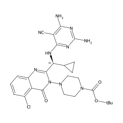 CC(C)(C)OC(=O)N1CCN(n2c([C@@H](Nc3nc(N)nc(N)c3C#N)C3CC3)nc3cccc(Cl)c3c2=O)CC1